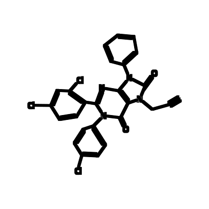 C#CCn1c(=O)n(-c2ccccc2)c2nc(-c3ccc(Cl)cc3Cl)n(-c3ccc(Cl)cc3)c(=O)c21